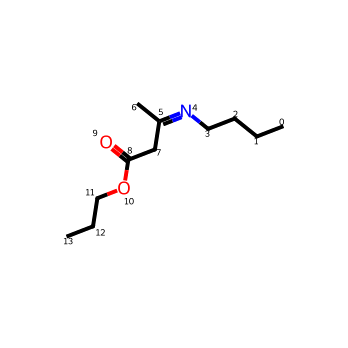 CCCCN=C(C)CC(=O)OCCC